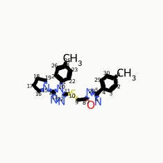 Cc1ccc(-c2noc(CSc3nnc(N4CCCC4)n3-c3ccc(C)cc3)n2)cc1